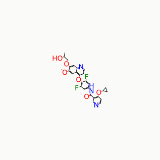 COc1cc2c(Oc3c(F)cc(NC(=O)c4cnccc4OC4CC4)cc3F)ccnc2cc1OCC(C)O